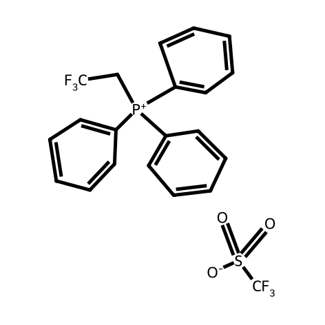 FC(F)(F)C[P+](c1ccccc1)(c1ccccc1)c1ccccc1.O=S(=O)([O-])C(F)(F)F